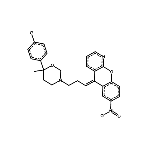 CC1(c2ccc(Cl)cc2)CCN(CCC=C2c3cc([N+](=O)[O-])ccc3Oc3ncccc32)CO1